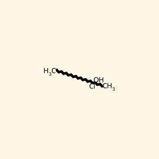 CCCCCCCCCCCCCCCC[C](Cl)C(O)CCCC